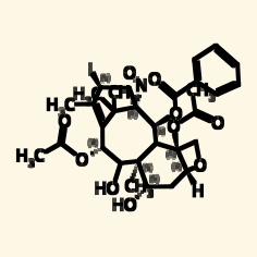 CC(=O)O[C@@H]1C2=C(C)[C@@H](I)C[C@@](N=O)([C@@H](OC(=O)c3ccccc3)C3[C@](C)(C1O)[C@@H](O)C[C@H]1OC[C@@]31OC(C)=O)C2(C)C